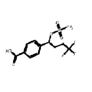 CS(=O)(=O)OC(CCC(F)(F)F)c1ccc(C(=O)O)cc1